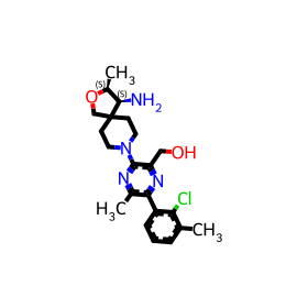 Cc1cccc(-c2nc(CO)c(N3CCC4(CC3)CO[C@@H](C)[C@H]4N)nc2C)c1Cl